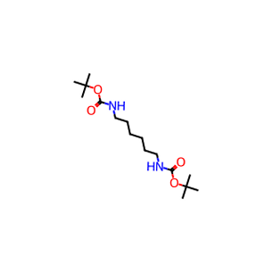 CC(C)(C)OC(=O)NCCCCCCNC(=O)OC(C)(C)C